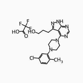 Cc1ccc(Cl)cc1N1CCN(c2ncnc3[nH]nc(CCCO)c23)CC1.O=C(O)C(F)(F)F